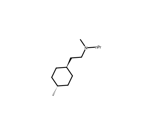 CCCN(C)CC[C@H]1CC[C@H](C)CC1